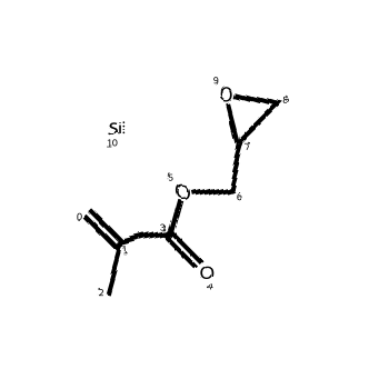 C=C(C)C(=O)OCC1CO1.[Si]